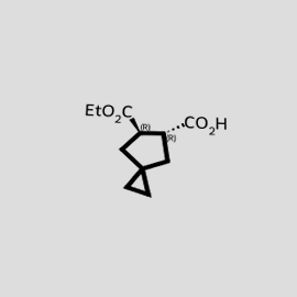 CCOC(=O)[C@@H]1CC2(CC2)C[C@H]1C(=O)O